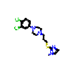 Cn1ccnc1SCCCN1CCN(c2ccc(Cl)c(Cl)c2)CC1